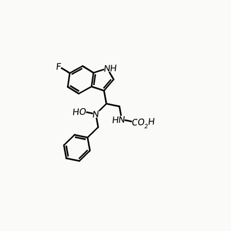 O=C(O)NCC(c1c[nH]c2cc(F)ccc12)N(O)Cc1ccccc1